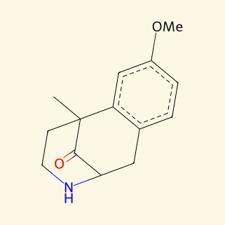 COc1ccc2c(c1)C1(C)CCNC(C2)C1=O